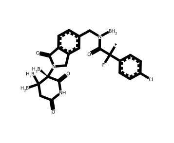 BN(Cc1ccc2c(c1)CN([C@]1(B)C(=O)NC(=O)CC1(B)B)C2=O)C(=O)C(F)(F)c1ccc(Cl)cc1